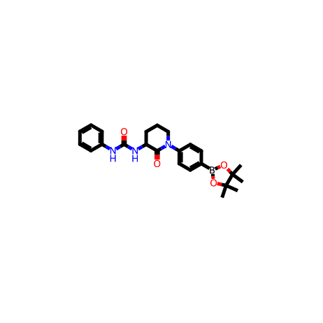 CC1(C)OB(c2ccc(N3CCCC(NC(=O)Nc4ccccc4)C3=O)cc2)OC1(C)C